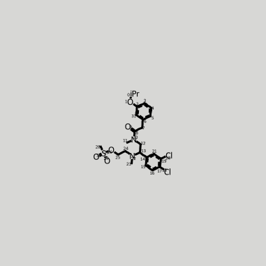 CC(C)Oc1cccc(CC(=O)N(C)CC(c2ccc(Cl)c(Cl)c2)N(C)CCOS(C)(=O)=O)c1